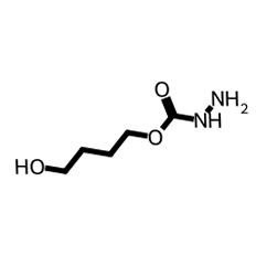 NNC(=O)OCCCCO